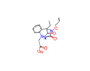 C=CCON1C(=O)N2C(=O)C1(CC)c1ccccc1N2CC(=O)O